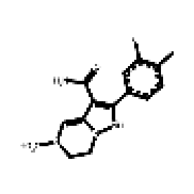 Cc1ccc(C2=C(C(N)=O)C3=CN(C(=O)O)CCN3N2)cc1Cl